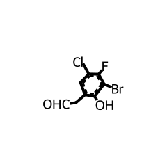 O=CCc1cc(Cl)c(F)c(Br)c1O